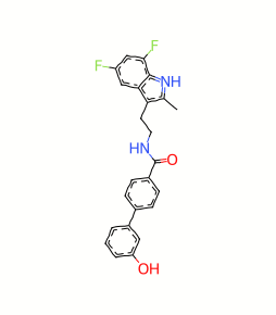 Cc1[nH]c2c(F)cc(F)cc2c1CCNC(=O)c1ccc(-c2cccc(O)c2)cc1